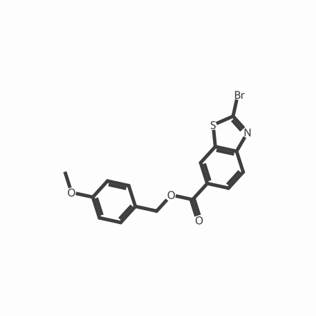 COc1ccc(COC(=O)c2ccc3nc(Br)sc3c2)cc1